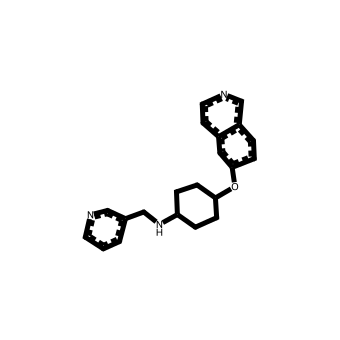 c1cncc(CNC2CCC(Oc3ccc4cnccc4c3)CC2)c1